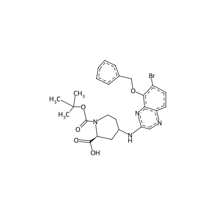 CC(C)(C)OC(=O)N1CCC(Nc2cnc3ccc(Br)c(OCc4ccccc4)c3n2)C[C@H]1C(=O)O